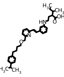 CCC(C)C(CCNc1cccc(C=Cc2cccc(COCCCCc3ccc(C(C)C)cc3)n2)c1)C(=O)O